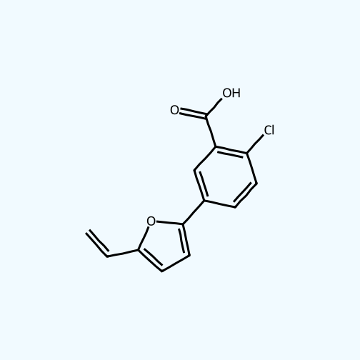 C=Cc1ccc(-c2ccc(Cl)c(C(=O)O)c2)o1